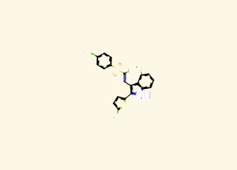 N#C/C(=C\c1c(-c2ccc(Cl)s2)[nH]c2ccccc12)S(=O)(=O)c1ccc(Cl)cc1